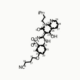 CC(C)CCn1c(=O)c(C2=NS(=O)(=O)c3cc(OCCCC#N)ccc3N2)c(O)c2cccnc21